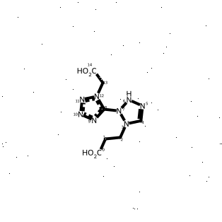 O=C(O)CCN1[C]=NNN1c1nnnn1CC(=O)O